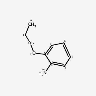 C[CH2][Zn][O]c1ccccc1N